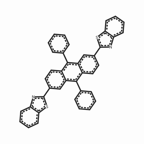 c1ccc(-c2c3ccc(-c4nc5ccccc5s4)cc3c(-c3ccccc3)c3ccc(-c4nc5ccccc5s4)cc23)cc1